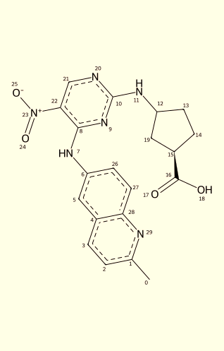 Cc1ccc2cc(Nc3nc(NC4CC[C@@H](C(=O)O)C4)ncc3[N+](=O)[O-])ccc2n1